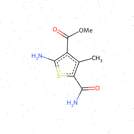 COC(=O)c1c(N)sc(C(N)=O)c1C